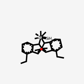 CCc1cccc2c1C=C(C)[CH]2[Zr]([CH3])([CH3])([CH3])([CH3])(=[SiH2])[CH]1C(C)=Cc2c(CC)cccc21